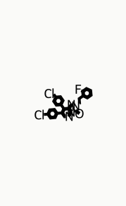 O=c1n(CCc2ccccc2F)nc2c(-c3ccc(Cl)cc3)c(-c3ccc(Cl)cc3)cnn12